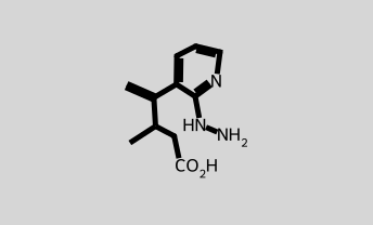 C=C(c1cccnc1NN)C(C)CC(=O)O